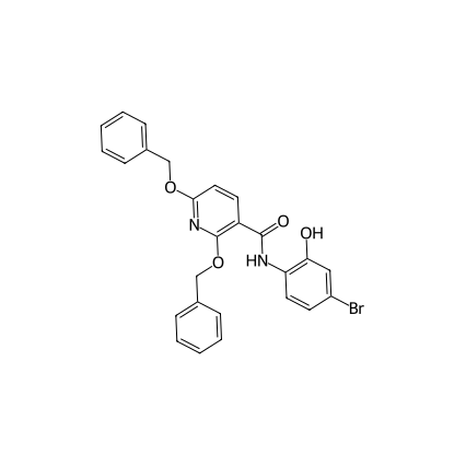 O=C(Nc1ccc(Br)cc1O)c1ccc(OCc2ccccc2)nc1OCc1ccccc1